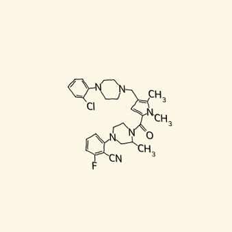 Cc1c(CN2CCN(c3ccccc3Cl)CC2)cc(C(=O)N2CCN(c3cccc(F)c3C#N)CC2C)n1C